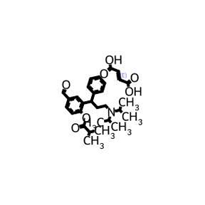 CC(C)C(=O)Oc1ccc(C=O)cc1C(CCN(C(C)C)C(C)C)c1ccccc1.O=C(O)/C=C/C(=O)O